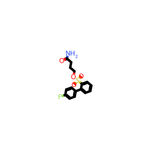 NC(=O)CCCOS(=O)(=O)c1ccccc1-c1ccc(F)cc1